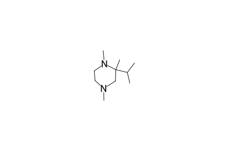 CC(C)C1(C)CN(C)CCN1C